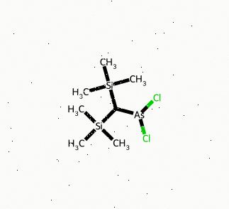 C[Si](C)(C)C([As](Cl)Cl)[Si](C)(C)C